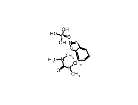 CN(C)C(=O)N(C)C.O=P(O)(O)O.c1ccc2[nH]nnc2c1